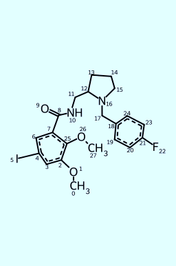 COc1cc(I)cc(C(=O)NCC2CCCN2Cc2ccc(F)cc2)c1OC